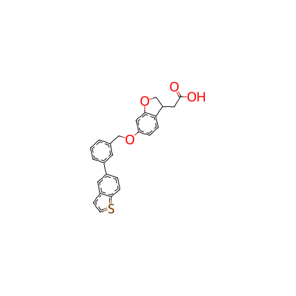 O=C(O)CC1COc2cc(OCc3cccc(-c4ccc5sccc5c4)c3)ccc21